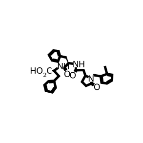 Cc1ccccc1CN1C(=O)CCC1CC(=O)N[C@H](Cc1ccccc1)C(=O)N[C@@H](Cc1ccccc1)C(=O)O